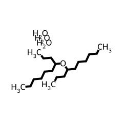 CCCCCCC(CCC)OC(CCC)CCCCCC.O.O.O